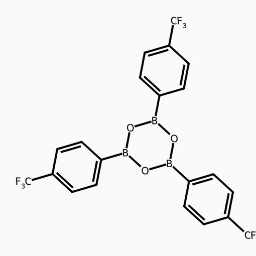 FC(F)(F)c1ccc(B2OB(c3ccc(C(F)(F)F)cc3)OB(c3ccc(C(F)(F)F)cc3)O2)cc1